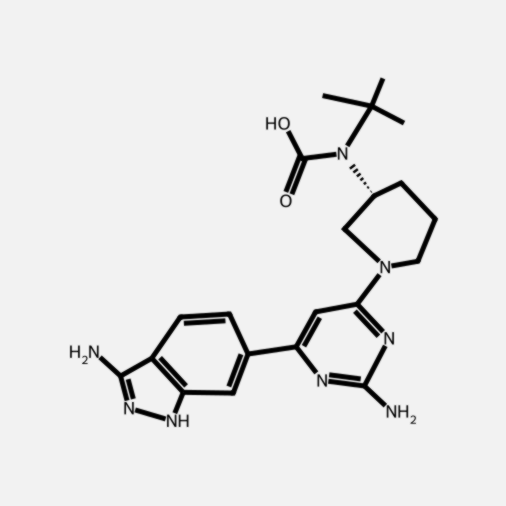 CC(C)(C)N(C(=O)O)[C@@H]1CCCN(c2cc(-c3ccc4c(N)n[nH]c4c3)nc(N)n2)C1